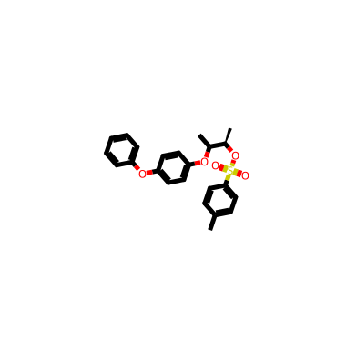 Cc1ccc(S(=O)(=O)O[C@H](C)C(C)Oc2ccc(Oc3ccccc3)cc2)cc1